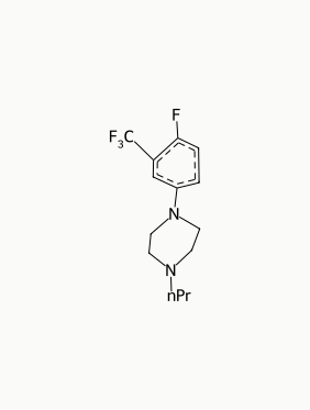 CCCN1CCN(c2ccc(F)c(C(F)(F)F)c2)CC1